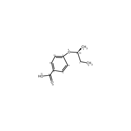 CC[C@H](C)Oc1ccc(C(=O)O)cc1